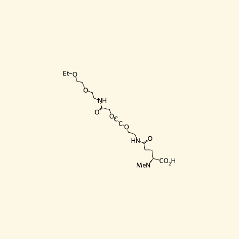 CCOCCOCCNC(=O)COCCOCCNC(=O)CC[C@H](NC)C(=O)O